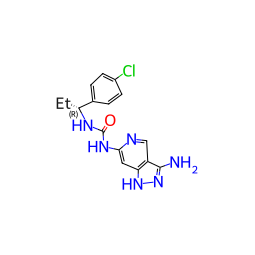 CC[C@@H](NC(=O)Nc1cc2[nH]nc(N)c2cn1)c1ccc(Cl)cc1